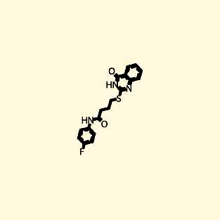 O=C(CCCSc1nc2ccccc2c(=O)[nH]1)Nc1ccc(F)cc1